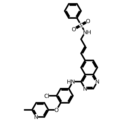 Cc1ccc(Oc2ccc(Nc3ncnc4ccc(C=CCNS(=O)(=O)c5ccccc5)cc34)cc2Cl)cn1